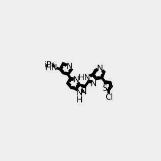 CC(C)Nc1cncc(-c2ccc3[nH]nc(-c4nc5c(-c6ccc(Cl)s6)cncc5[nH]4)c3n2)c1